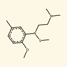 COc1ccc(C)cc1N(CCN(C)C)SC